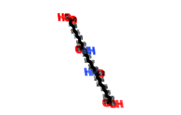 O=C(O)CCCCCCCCC(=O)NCCCCCCNC(=O)CCCCCCCCC(=O)O